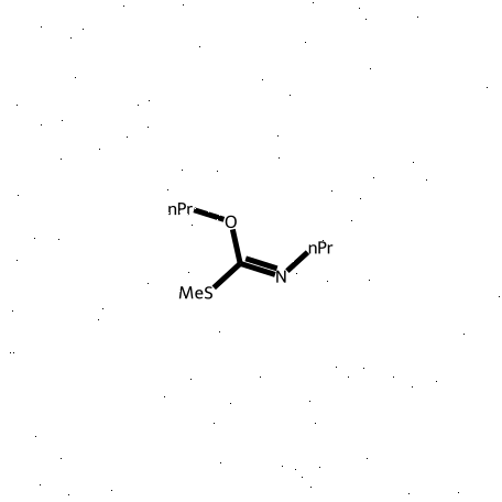 CCCN=C(OCCC)SC